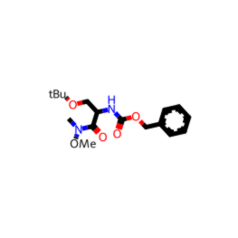 CON(C)C(=O)C(COC(C)(C)C)NC(=O)OCc1ccccc1